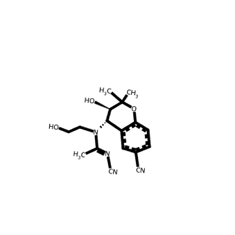 CC(=NC#N)N(CCO)[C@H]1c2cc(C#N)ccc2OC(C)(C)[C@@H]1O